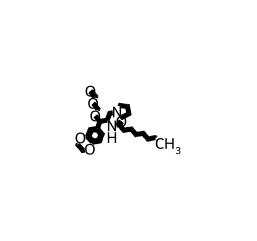 CCCCCCCC(=O)NC(CN1CCCC1)C(OCOC=O)c1ccc2c(c1)OCCO2